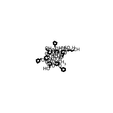 C#CCCCO[C@@H]1OC(CO)[C@@H](O[C@H]2C[C@H](OCc3ccccc3)[C@H](O[C@@H]3OC(CO)[C@@H](O[C@H]4C[C@H](OCc5ccccc5)[C@H](O[C@@H]5OC(CO)[C@@H](O[C@H]6C[C@H](OCc7ccccc7)[C@H](C)CO6)[C@H](C)C5NS(=O)(=O)O)CO4)[C@H](C)C3NS(=O)(=O)O)CO2)[C@H](C)C1NS(=O)(=O)O